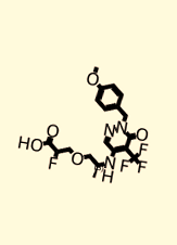 COc1ccc(Cn2ncc(N[C@@H](C)COCC(F)C(=O)O)c(C(F)(F)F)c2=O)cc1